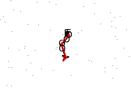 C=CCC(CC=C)(CC=C)CCCCCCCOCCC(C)(C)OCCCCOCCC(C)(C)OC(F)(F)F